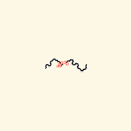 CC/C=C\C/C=C\C/C=C\C/C=C\C/C=C\C/C=C\CCC(=O)OC[C@H](CO)OC(=O)CCCC/C=C\C/C=C\C/C=C\C/C=C\CC